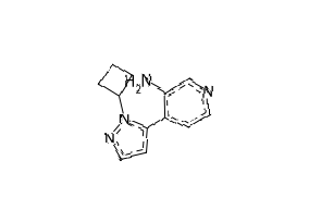 Nc1cnccc1-c1ccnn1C1CCC1